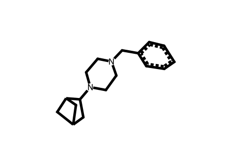 c1ccc(CN2CCN(C3CC4CC3C4)CC2)cc1